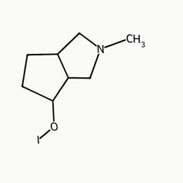 CN1CC2CCC(OI)C2C1